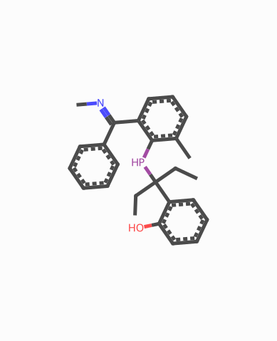 CCC(CC)(Pc1c(C)cccc1/C(=N/C)c1ccccc1)c1ccccc1O